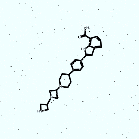 NC(=O)c1cccc2cc(-c3ccc(C4CCN(C5CN(C6CNC6)C5)CC4)cc3)[nH]c12